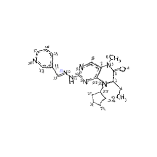 CCC1C(=O)N(C)c2cnc(N/N=C/c3cccnc3)nc2N1C1CCCC1